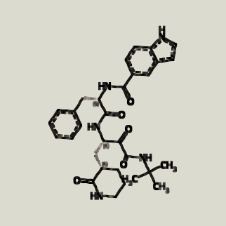 CC(C)(C)NC(=O)C(=O)[C@H](C[C@@H]1CCCNC1=O)NC(=O)[C@H](Cc1ccccc1)NC(=O)c1ccc2[nH]ccc2c1